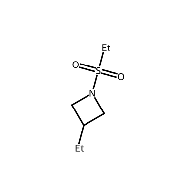 CCC1CN(S(=O)(=O)CC)C1